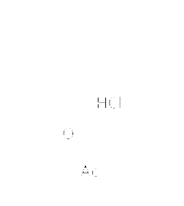 C=CCOC(C)=O.Cl